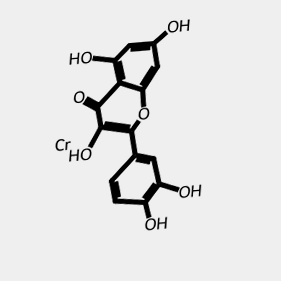 O=c1c(O)c(-c2ccc(O)c(O)c2)oc2cc(O)cc(O)c12.[Cr]